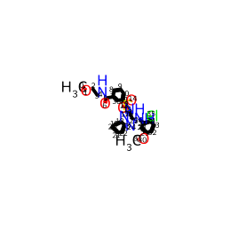 COCCNC(=O)c1cccc(S(=O)(=O)Nc2nc3ccccc3nc2Nc2cc(OC)ccc2Cl)c1